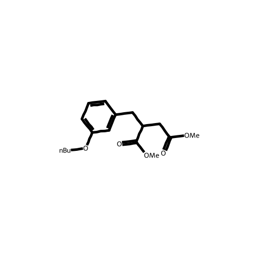 CCCCOc1cccc(CC(CC(=O)OC)C(=O)OC)c1